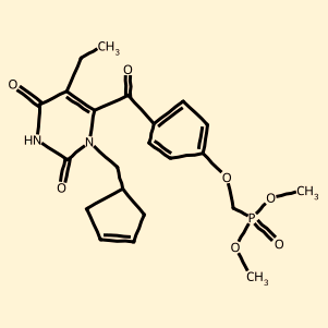 CCc1c(C(=O)c2ccc(OCP(=O)(OC)OC)cc2)n(CC2CC=CC2)c(=O)[nH]c1=O